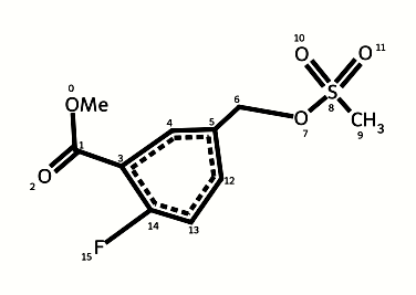 COC(=O)c1cc(COS(C)(=O)=O)ccc1F